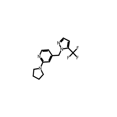 FC(F)(F)c1ccnn1Cc1ccnc(N2CCCC2)c1